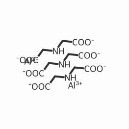 O=C([O-])CNCC(=O)[O-].O=C([O-])CNCC(=O)[O-].O=C([O-])CNCC(=O)[O-].[Al+3].[Al+3]